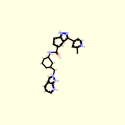 Cc1cc(-c2n[nH]c3ccc(C(=O)NC4CCCC(Cn5cc6cccnc6n5)C4)cc23)ccn1